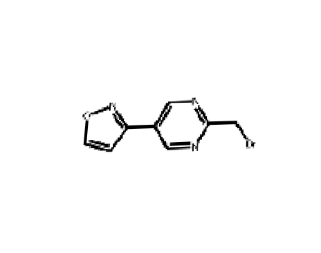 BrCc1ncc(-c2ccon2)cn1